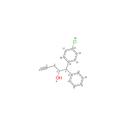 C#CCC(O)C(c1ccccc1)c1ccc(Cl)cc1